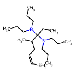 CCCN(CCC)C(CC)(C(C)C/C=C\[SiH3])N(CCC)CCC